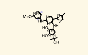 C/C=C\C(=C/C(=N)OC)Nc1ncc(-c2nc(C)cs2)c(N[C@@H]2C[C@H](C(C)(C)O)[C@@H](O)[C@H]2O)n1